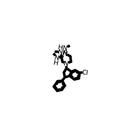 CNN1CCN(C2CC(c3ccccc3)c3ccc(Cl)cc32)CC1(NC)NC